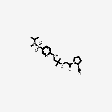 CC(C)N(C)S(=O)(=O)c1ccc(NCC(C)(C)NCC(=O)N2CCC[C@H]2C#N)nc1